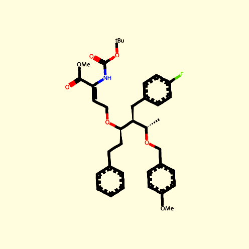 COC(=O)/C(=C/CO[C@H](CCc1ccccc1)[C@@H](Cc1ccc(F)cc1)[C@H](C)OCc1ccc(OC)cc1)NC(=O)OC(C)(C)C